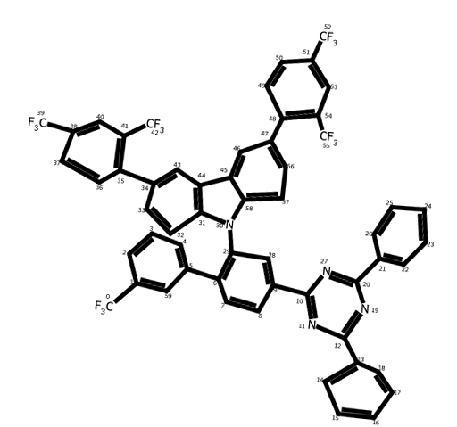 FC(F)(F)c1cccc(-c2ccc(-c3nc(-c4ccccc4)nc(-c4ccccc4)n3)cc2-n2c3ccc(-c4ccc(C(F)(F)F)cc4C(F)(F)F)cc3c3cc(-c4ccc(C(F)(F)F)cc4C(F)(F)F)ccc32)c1